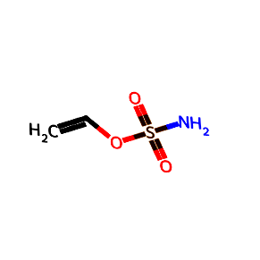 C=COS(N)(=O)=O